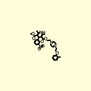 COC(=O)C1=C(C)NC(C)=C(C(=O)OCCN2CCN(CCOc3ccccc3C)CC2)C1c1cccc([N+](=O)[O-])c1